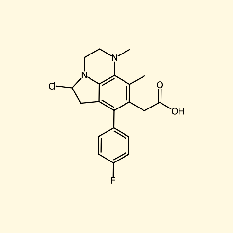 Cc1c(CC(=O)O)c(-c2ccc(F)cc2)c2c3c1N(C)CCN3C(Cl)C2